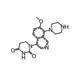 COc1ccc2c(N3CCC(=O)NC3=O)cncc2c1N1CCNCC1